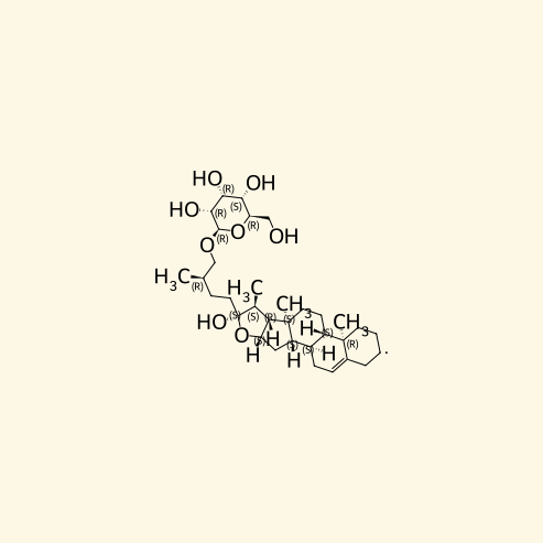 C[C@H](CC[C@]1(O)O[C@H]2C[C@H]3[C@@H]4CC=C5C[CH]CC[C@]5(C)[C@H]4CC[C@]3(C)[C@H]2[C@@H]1C)CO[C@@H]1O[C@H](CO)[C@@H](O)[C@@H](O)[C@H]1O